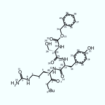 CCC(C)[CH]C(=O)[C@@H](CCCNC(N)=O)NC(=O)[C@H](Cc1ccc(O)cc1)NC(=O)[C@H](CO)NC(=O)OCc1ccccc1